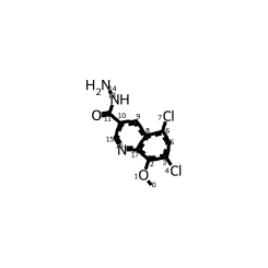 COc1c(Cl)cc(Cl)c2cc(C(=O)NN)cnc12